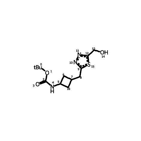 CC(C)(C)OC(=O)NC1CC(Cc2nnc(CO)s2)C1